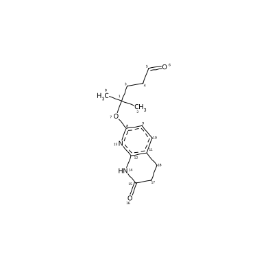 CC(C)(CCC=O)Oc1ccc2c(n1)NC(=O)CC2